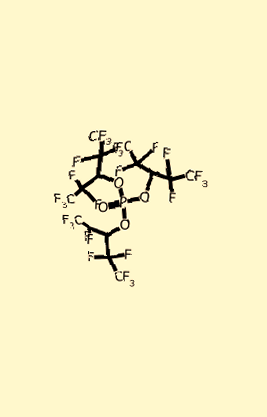 O=P(OC(C(F)(F)C(F)(F)F)C(F)(F)C(F)(F)F)(OC(C(F)(F)C(F)(F)F)C(F)(F)C(F)(F)F)OC(C(F)(F)C(F)(F)F)C(F)(F)C(F)(F)F